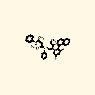 C=CC1C(CC/[N+](=C(C)\C=C(\C)N(C)c2ccccc2)c2ccccc2)c2cc(F)cc(F)c2-c2c3ccccc3cc[n+]21